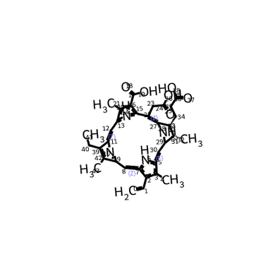 C=Cc1c(C)/c2[nH]/c1=C\C1=NC(=C\c3[nH]c(c(C(=O)O)c3C)/C(CC(=O)O)=C3\NC(/C=2)[C@@H](C)[C@@H]3CCC(=O)O)/C(CC)=C1C